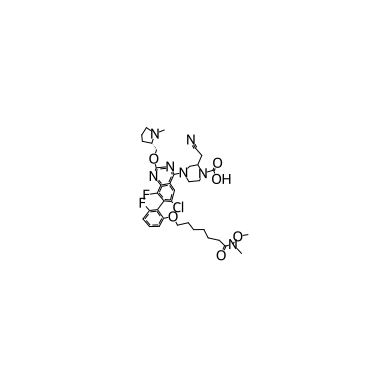 CON(C)C(=O)CCCCCCOc1cccc(F)c1-c1c(Cl)cc2c(N3CCN(C(=O)O)C(CC#N)C3)nc(OC[C@@H]3CCCN3C)nc2c1F